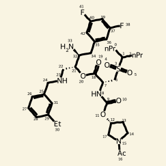 CCCC(CCC)S(=O)(=O)C[C@H](NC(=O)O[C@@H]1CCN(C(C)=O)C1)C(=O)O[C@H](CNCc1cccc(CC)c1)[C@@H](N)Cc1cc(F)cc(F)c1